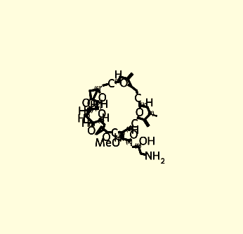 C=C1C[C@@H]2CC[C@@]34CC5O[C@H]6[C@@H](O3)[C@H]3OC(CC[C@@H]3O[C@H]6[C@H]5O4)CC(=O)C[C@@H]3[C@@H](OC)[C@@H](C[C@H](O)CN)O[C@H]3CC3O[C@@H](CCC1O2)C[C@@H](C)C3=C